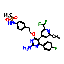 Cc1cc(-c2c(OCCc3ccc(NS(C)(=O)=O)cc3)nc(N)nc2-c2ccc(F)cc2)cc(C(F)F)n1